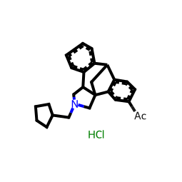 CC(=O)c1ccc2c(c1)C13CC2c2ccccc2C1CN(CC1CCCC1)C3.Cl